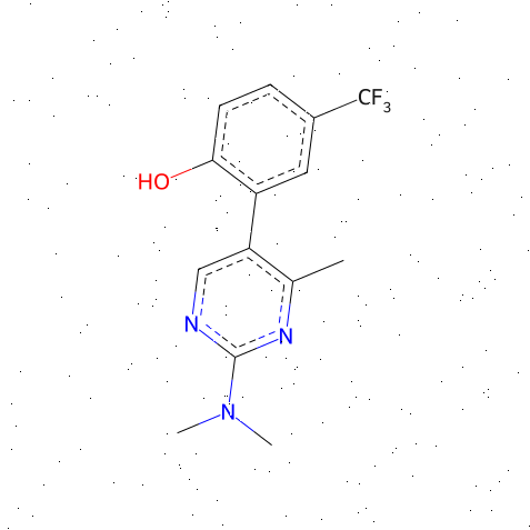 Cc1nc(N(C)C)ncc1-c1cc(C(F)(F)F)ccc1O